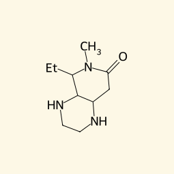 CCC1C2NCCNC2CC(=O)N1C